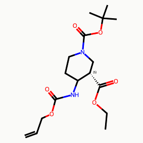 C=CCOC(=O)NC1CCN(C(=O)OC(C)(C)C)C[C@@H]1C(=O)OCC